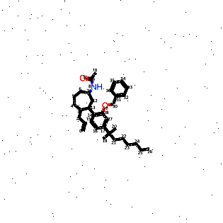 C=CCC1CCCC(NC(C)=O)CC1c1ccc(C(C)(C)CCCCCC)cc1OCc1ccccc1